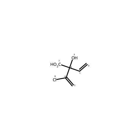 C=CC(O)(C(=C)Cl)C(=O)O